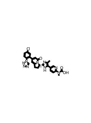 Cc1nc([C@@H]2CCc3cc(-c4cc(Cl)ccc4-n4cnnn4)cc(=O)n32)[nH]c1-c1ccc(N(C)C(=O)O)nc1